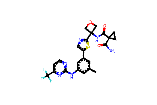 Cc1cc(Nc2nccc(C(F)(F)F)n2)cc(-c2cnc(C3(NC(=O)C4(C(N)=O)CC4)COC3)s2)c1